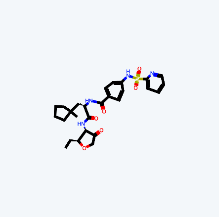 CC[C@@H]1OCC(=O)[C@H]1NC(=O)[C@H](CC1(C)CCCC1)NC(=O)c1ccc(NS(=O)(=O)c2ccccn2)cc1